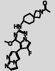 COc1nc(NC2CCC3(CC2)CN(C(C)=O)C3)nn2cc(F)c(-c3cnc4nccn4c3)c12